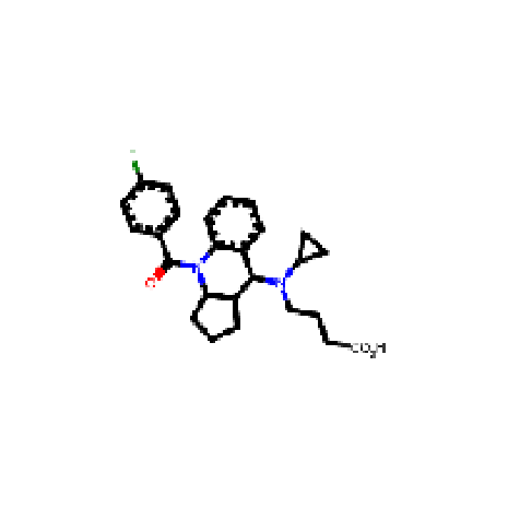 O=C(O)CCCN(C1CC1)C1c2ccccc2N(C(=O)c2ccc(F)cc2)C2CCCC21